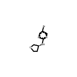 Brc1cnc(N[C@H]2CCOC2)nc1